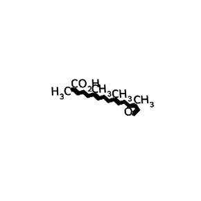 C/C(=C/CC/C(C)=C/CC/C(C)=C/Cc1occc1C)C(=O)O